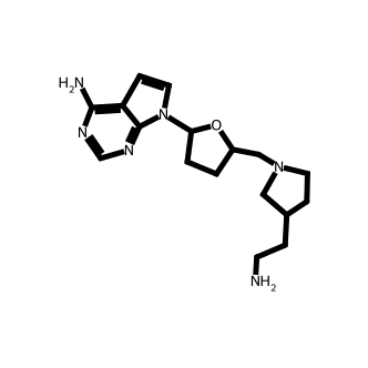 NCCC1CCN(CC2CCC(n3ccc4c(N)ncnc43)O2)C1